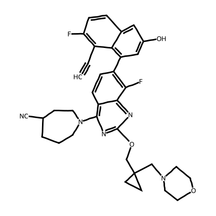 C#Cc1c(F)ccc2cc(O)cc(-c3ccc4c(N5CCCC(C#N)CC5)nc(OCC5(CN6CCOCC6)CC5)nc4c3F)c12